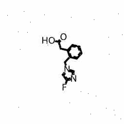 O=C(O)Cc1ccccc1Cn1cnc(F)c1